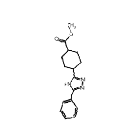 COC(=O)C1CCC(c2nnc(-c3ccccc3)[nH]2)CC1